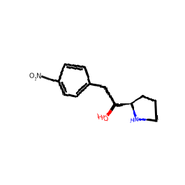 O=[N+]([O-])c1ccc(CC(O)[C@H]2CCCN2)cc1